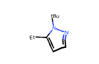 CCc1ccnn1C(C)(C)C